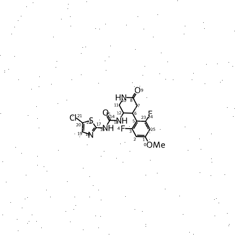 COc1cc(F)c(C2CC(=O)NCC2NC(=O)Nc2ncc(Cl)s2)c(F)c1